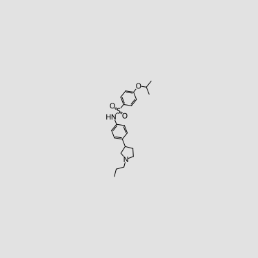 CCCN1CCC(c2ccc(NS(=O)(=O)c3ccc(OC(C)C)cc3)cc2)C1